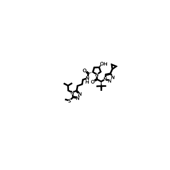 CSc1nnc(CCCNC(=O)[C@@H]2C[C@@H](O)CN2C(=O)[C@@H](n2cc(C3CC3)nn2)C(C)(C)C)n1CC(C)C